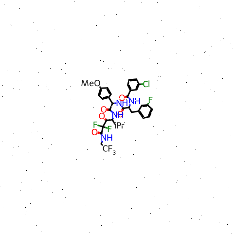 COc1ccc(C(NC(=O)C(Cc2cccc(F)c2)NC(=O)c2cccc(Cl)c2)C(=O)NC(C(=O)C(F)(F)C(=O)NCC(F)(F)F)C(C)C)cc1